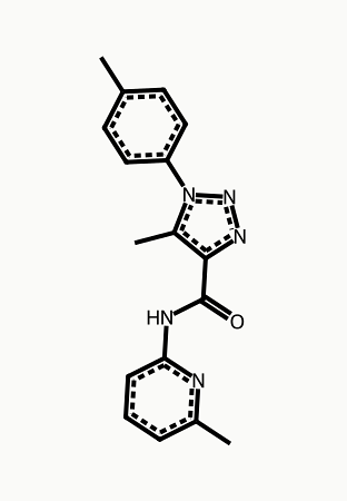 Cc1ccc(-n2nnc(C(=O)Nc3cccc(C)n3)c2C)cc1